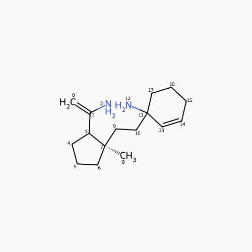 C=C(N)C1CCC[C@]1(C)CCC1(N)C=CCCC1